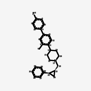 Cc1cc(-c2ccc(F)cc2)ccc1C1CCN(C[C@@H]2C[C@H]2c2ccccc2)CC1